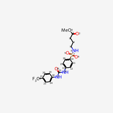 COC(=O)CCCNS(=O)(=O)c1ccc(NC(=O)Nc2ccc(C(F)(F)F)cc2)cc1